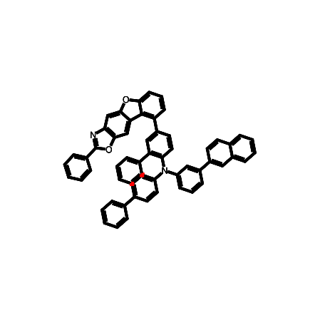 c1ccc(-c2ccc(N(c3cccc(-c4ccc5ccccc5c4)c3)c3ccc(-c4cccc5oc6cc7nc(-c8ccccc8)oc7cc6c45)cc3-c3ccccc3)cc2)cc1